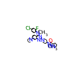 [C-]#[N+]c1ccc2c(N(C)c3ccc(Cl)cc3F)nc(N3CCC(N(C)C(=O)C4CCCN4)CC3)nc2c1